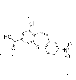 O=C(O)c1cc(Cl)c2c(c1)Sc1ccc([N+](=O)[O-])cc1C=C2